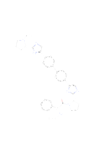 CCC(C)N1CCC[C@H]1c1ncc(-c2ccc(-c3ccc(-c4cnc([C@@H]5CCCN5C(=O)[C@H](NC(=O)O)c5ccccc5)[nH]4)cc3)cc2)[nH]1